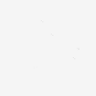 Cn1cc(C2Nc3nccc(Cl)c3C=C2CO)cn1